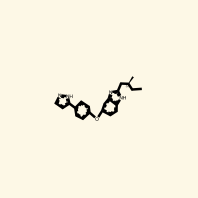 CC[C@H](C)Cc1nc2cc(Oc3ccc(-c4ccn[nH]4)cc3)ccc2[nH]1